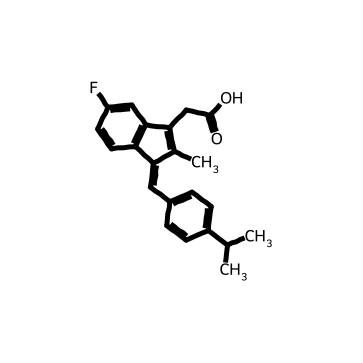 CC1=C(CC(=O)O)c2cc(F)ccc2C1=Cc1ccc(C(C)C)cc1